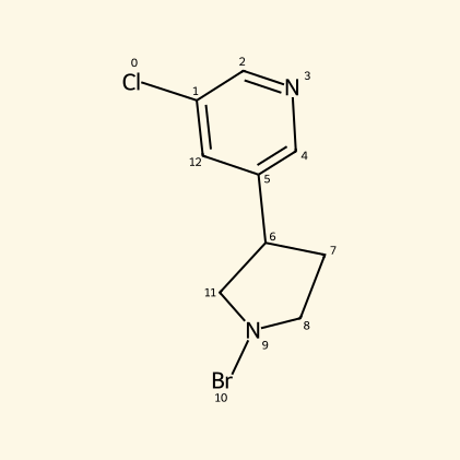 Clc1cncc(C2CCN(Br)C2)c1